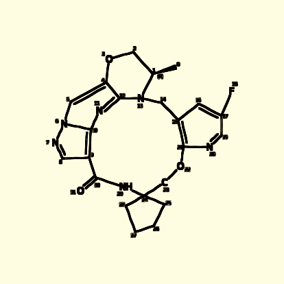 C[C@@H]1COc2cn3ncc4c3nc2N1Cc1cc(F)cnc1OCC1(CCCC1)NC4=O